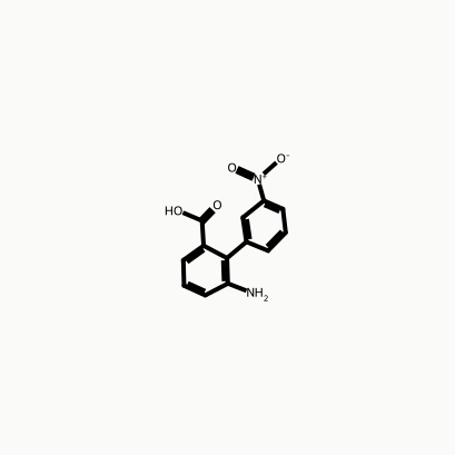 Nc1cccc(C(=O)O)c1-c1cccc([N+](=O)[O-])c1